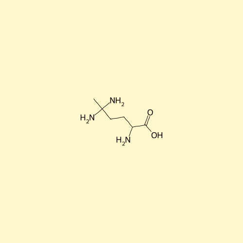 CC(N)(N)CCC(N)C(=O)O